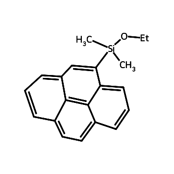 CCO[Si](C)(C)c1cc2cccc3ccc4cccc1c4c32